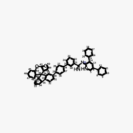 N=C(/N=c1\[nH]cc(-c2ccccc2)cc1-c1ccccc1)c1cccc(-c2ccc(-c3ccc4c(c3)C3(c5ccccc5Oc5ccccc53)c3ccccc3-4)cc2)c1